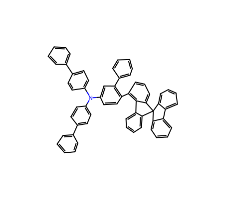 c1ccc(-c2ccc(N(c3ccc(-c4ccccc4)cc3)c3ccc(-c4cccc5c4-c4ccccc4C54c5ccccc5-c5ccccc54)c(-c4ccccc4)c3)cc2)cc1